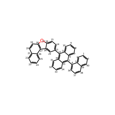 c1ccc2c(-c3c4ccccc4c(-c4ccc5oc6ccc7ccccc7c6c5c4)c4ccccc34)cccc2c1